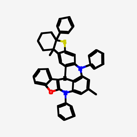 Cc1cc2c3c(c1)N(c1ccccc1)c1oc4ccccc4c1B3c1cc3c(cc1N2c1ccccc1)SC1(c2ccccc2)CCCCC31C